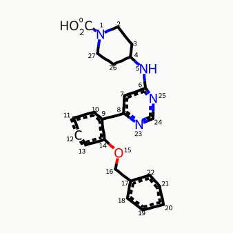 O=C(O)N1CCC(Nc2cc(-c3ccccc3OCc3ccccc3)ncn2)CC1